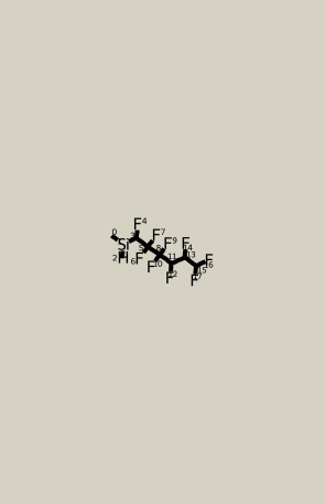 C[SiH](C)C(F)C(F)(F)C(F)(F)C(F)C(F)C(F)F